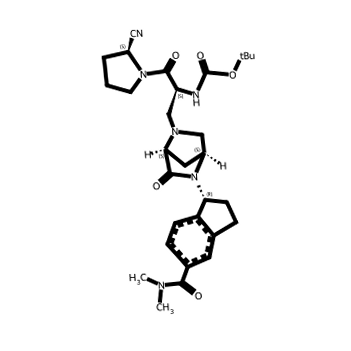 CN(C)C(=O)c1ccc2c(c1)CC[C@H]2N1C(=O)[C@@H]2C[C@H]1CN2C[C@H](NC(=O)OC(C)(C)C)C(=O)N1CCC[C@H]1C#N